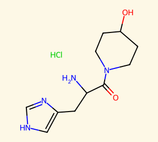 Cl.NC(Cc1c[nH]cn1)C(=O)N1CCC(O)CC1